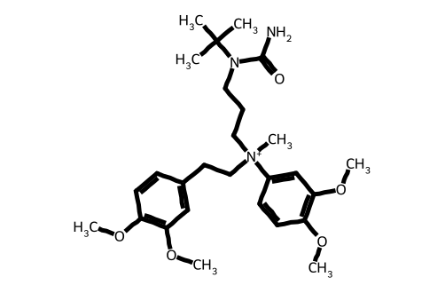 COc1ccc(CC[N+](C)(CCCN(C(N)=O)C(C)(C)C)c2ccc(OC)c(OC)c2)cc1OC